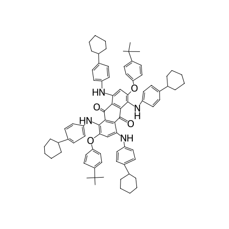 CC(C)(C)c1ccc(Oc2cc(Nc3ccc(C4CCCCC4)cc3)c3c(c2Nc2ccc(C4CCCCC4)cc2)C(=O)c2c(Nc4ccc(C5CCCCC5)cc4)cc(Oc4ccc(C(C)(C)C)cc4)c(Nc4ccc(C5CCCCC5)cc4)c2C3=O)cc1